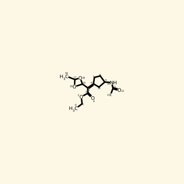 CCOC(=O)/C(=C1/CCC(NC(=O)I)C1)C1OC(C)O1